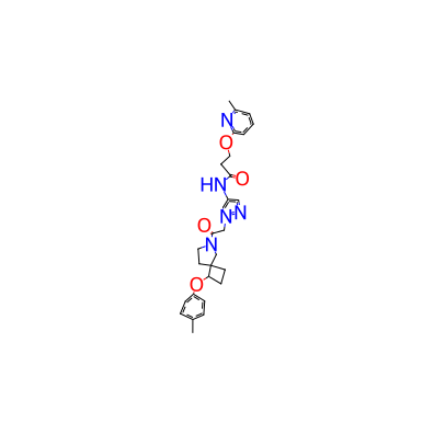 Cc1ccc(OC2CCC23CCN(C(=O)Cn2cc(NC(=O)CCOc4cccc(C)n4)cn2)C3)cc1